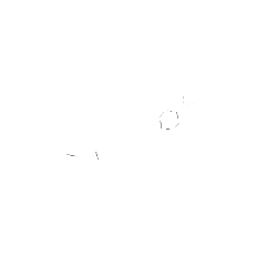 CC/C=C\CC(=O)OCC(O)CCOc1ccc([N+](=O)[O-])cc1